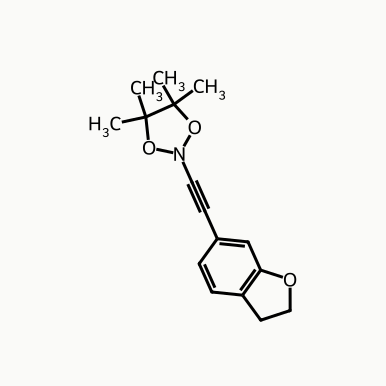 CC1(C)ON(C#Cc2ccc3c(c2)OCC3)OC1(C)C